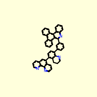 C1=Nc2c(-c3cccc(-c4nc5ccccc5c5c6ccccc6c6ccccc6c45)c3)ccc(-c3cc4cccnc4c4ncccc34)c2CC1